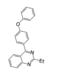 CCc1nc(-c2ccc(Oc3ccccc3)cc2)c2ccccc2n1